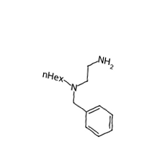 CCCCCCN(CCN)Cc1ccccc1